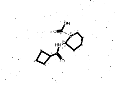 O=C(N[C@H]1CCCC[C@H]1C(=O)O)C1CCC1